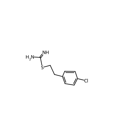 N=C(N)SCCc1ccc(Cl)cc1